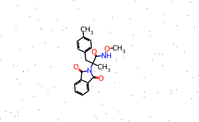 CONC(=O)C(C)(Cc1ccc(C)cc1)N1C(=O)c2ccccc2C1=O